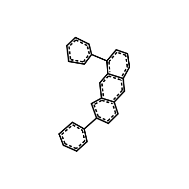 c1ccc(-c2ccc3cc4cccc(-c5ccccc5)c4cc3c2)cc1